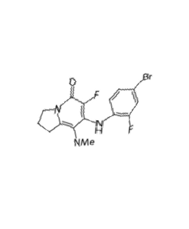 CNc1c(Nc2ccc(Br)cc2F)c(F)c(=O)n2c1CCC2